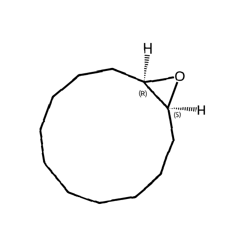 C1CCCCC[C@H]2O[C@H]2CCCC1